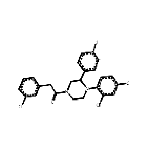 O=C(Cc1cccc(Cl)c1)N1CCN(c2ccc(Cl)cc2Cl)C(c2ccc(Cl)cc2)C1